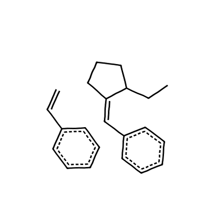 C=Cc1ccccc1.CCC1CCCC1=Cc1ccccc1